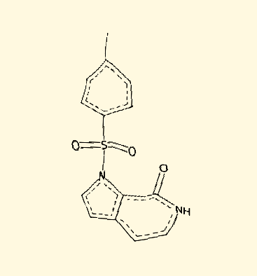 Cc1ccc(S(=O)(=O)n2ccc3cc[nH]c(=O)c32)cc1